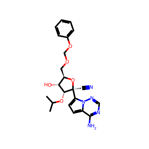 CC(C)O[C@@H]1[C@H](O)[C@@H](COCOc2ccccc2)O[C@@]1(C#N)c1ccc2c(N)ncnn12